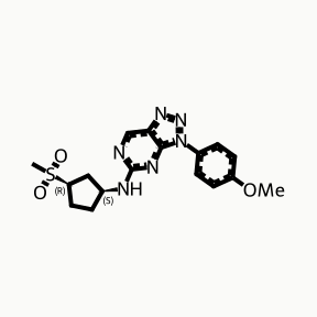 COc1ccc(-n2nnc3cnc(N[C@H]4CC[C@@H](S(C)(=O)=O)C4)nc32)cc1